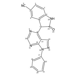 N#Cc1ccc2c(c1)C(c1ncnc3c1cnn3-c1ccccc1)C(=O)N2